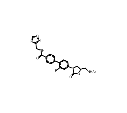 CC(=O)NCC1CN(c2ccc(-c3ccc(C(=O)NCc4ncon4)cc3)c(F)c2)C(=O)O1